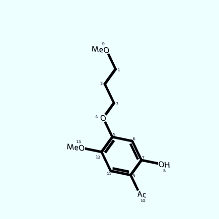 COCCCOc1cc(O)c(C(C)=O)cc1OC